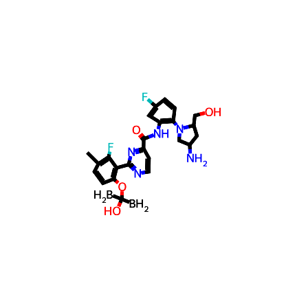 BC(B)(O)Oc1ccc(C)c(F)c1-c1nccc(C(=O)Nc2cc(F)ccc2N2CC(N)CC2CO)n1